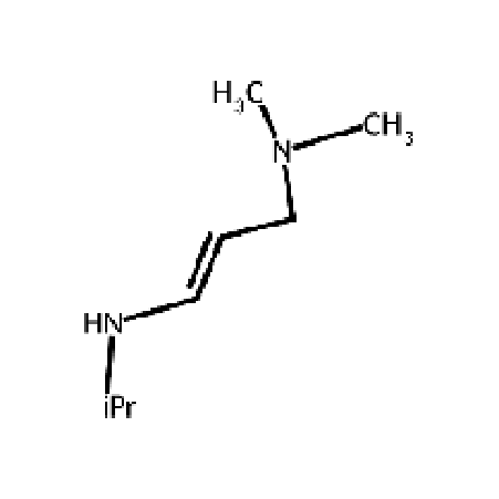 CC(C)NC=CCN(C)C